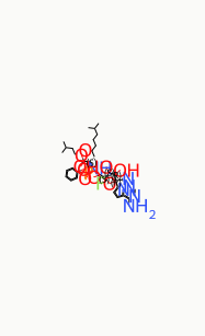 CC(C)CCCC(=O)C[C@H](NP(=O)(OC[C@@]1(F)O[C@@](C#N)(c2ccc3c(N)ncnn23)[C@H](O)[C@@H]1O)Oc1ccccc1)C(=O)OCCC(C)C